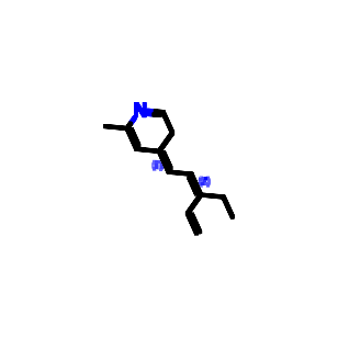 C=C/C(=C\C=C1\C=C(C)N=CC1)CC